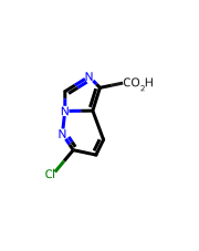 O=C(O)c1ncn2nc(Cl)ccc12